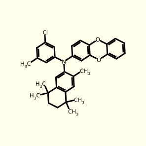 Cc1cc(Cl)cc(N(c2ccc3c(c2)Oc2ccccc2O3)c2cc3c(cc2C)C(C)(C)CCC3(C)C)c1